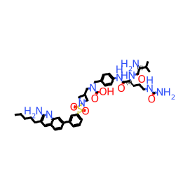 CCCCCc1cc2ccc(-c3cccc(S(=O)(=O)N4CC(CN(Cc5ccc(NC(=O)[C@H](CCCNC(N)=O)NC(=O)[C@@H](N)C(C)C)cc5)C(=O)O)C4)c3)cc2nc1N